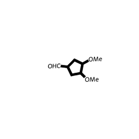 COC1CC(C=O)CC1OC